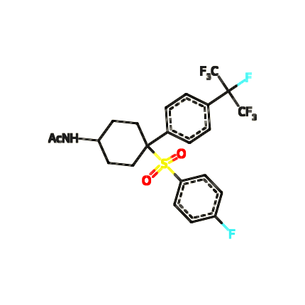 CC(=O)NC1CCC(c2ccc(C(F)(C(F)(F)F)C(F)(F)F)cc2)(S(=O)(=O)c2ccc(F)cc2)CC1